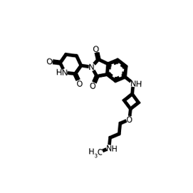 CNCCCOC1CC(Nc2ccc3c(c2)C(=O)N(C2CCC(=O)NC2=O)C3=O)C1